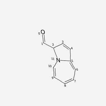 O=CC1C=CC2=CC=CC=CN21